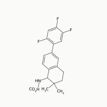 CC1(C)CCc2cc(-c3cc(F)c(F)cc3F)ccc2C1NC(=O)O